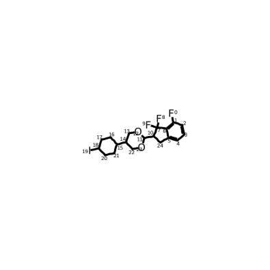 Fc1cccc2c1C(F)(F)C(C1OCC(C3CCC(I)CC3)CO1)C2